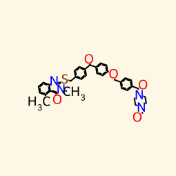 Cc1cccc2nc(SCc3ccc(C(=O)c4ccc(OCc5ccc(C(=O)N6CCN(C=O)CC6)cc5)cc4)cc3)n(C)c(=O)c12